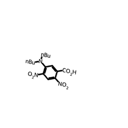 CCCCN(CCCC)c1cc(C(=O)O)c([N+](=O)[O-])cc1[N+](=O)[O-]